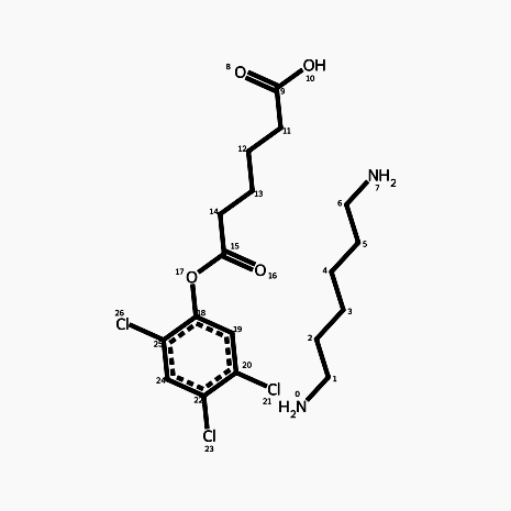 NCCCCCCN.O=C(O)CCCCC(=O)Oc1cc(Cl)c(Cl)cc1Cl